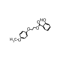 COc1ccc(OCCOC(=O)c2ccccc2O)cc1